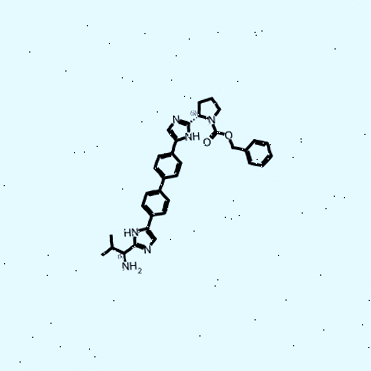 CC(C)[C@H](N)c1ncc(-c2ccc(-c3ccc(-c4cnc([C@@H]5CCCN5C(=O)OCc5ccccc5)[nH]4)cc3)cc2)[nH]1